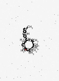 CCCn1ccc2cc(OC3CCC(C=C(C)C4OC(=O)C5CCCCN5C(=O)C(=O)C5(O)OC(C(OC)CC(C)C(O)/C(C)=C/C(CC)C(=O)CCC4C)C(OC)CC5C)CC3O)ccc21